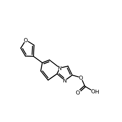 O=C(O)Oc1cn2cc(-c3ccoc3)ccc2n1